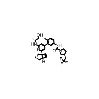 Cc1ccc(NC(=O)N2CC[C@@H](CC(F)(F)F)C2)cc1-c1cc(N[C@H](C)CO)nc([C@@]23C#C[C@@H]2COC3)c1